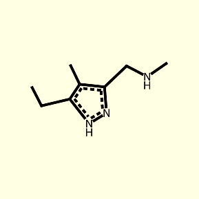 CCc1[nH]nc(CNC)c1C